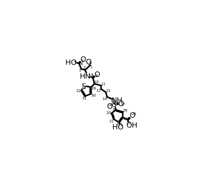 O=CC(CC(=O)O)NC(=O)C(CCCCNS(=O)(=O)c1ccc(O)c(C(=O)O)c1)c1cccs1